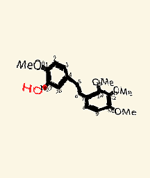 COc1ccc(CCc2ccc(OC)c(OC)c2OC)cc1O